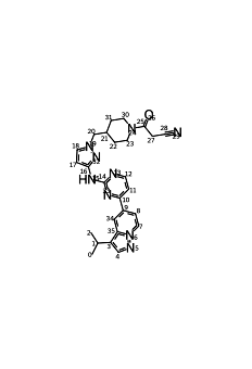 CC(C)c1cnn2ccc(-c3ccnc(Nc4ccn(CC5CCN(C(=O)CC#N)CC5)n4)n3)cc12